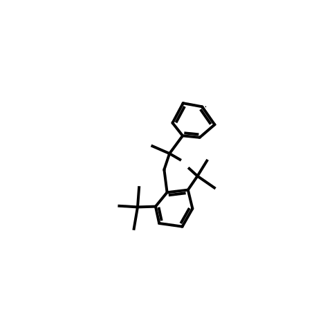 CC(C)(C)c1cccc(C(C)(C)C)c1CC(C)(C)c1cc[c]cc1